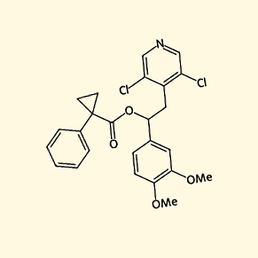 COc1ccc(C(Cc2c(Cl)cncc2Cl)OC(=O)C2(c3ccccc3)CC2)cc1OC